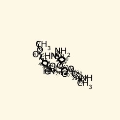 CCOC(=O)/C=C/c1ccc(S(=O)(=O)N[C@H](COc2cccc(C(=N)N)c2)Cc2ccc(OC3CCN(C(C)=N)CC3)cc2)cc1